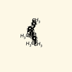 COC1=CC(CCCN2CCN(C)CC2)(c2ccccc2F)CN1S(=O)(=O)c1ccc(OC(C)C)cc1